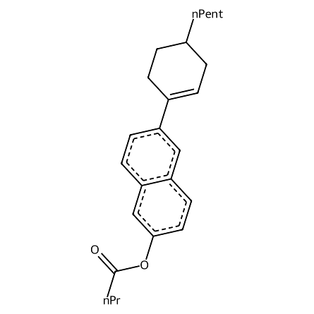 CCCCCC1CC=C(c2ccc3cc(OC(=O)CCC)ccc3c2)CC1